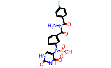 NN(C(=O)c1ccc(F)cc1)C(=O)c1cccc(N(c2c[nH]c(=O)[nH]c2=O)S(=O)(=O)O)c1